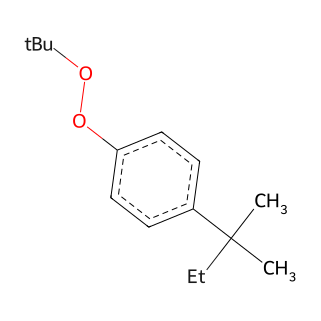 CCC(C)(C)c1ccc(OOC(C)(C)C)cc1